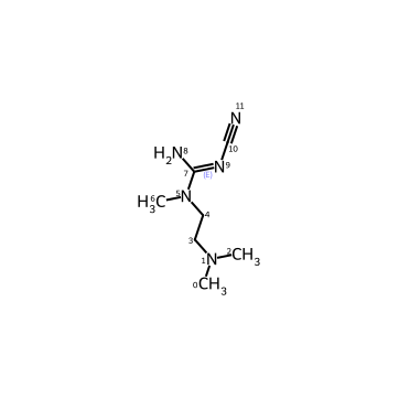 CN(C)CCN(C)/C(N)=N/C#N